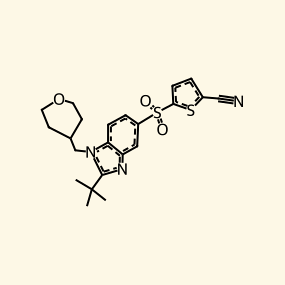 CC(C)(C)c1nc2cc(S(=O)(=O)c3ccc(C#N)s3)ccc2n1CC1CCOCC1